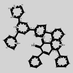 N=C1C(c2ccccc2)=Cc2c(-c3ccccc3)nc3cccc(-c4ccc(-c5cc(-c6ccccn6)nc(-c6ccccn6)c5)cc4)c3c2/C1=N/O